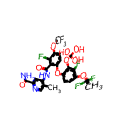 Cc1cnc(C(N)=O)cc1NC(=O)c1c(Oc2ccc(OC(C)(F)F)c(F)c2OC(O)(O)O)ccc(OC(F)(F)F)c1F